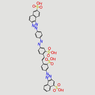 O=S(=O)(O)c1ccc2c(ccc3c2n2n(-c4ccc(N=Nc5ccc(C=Cc6ccc(-n7n8c9cc(S(=O)(=O)O)c%10ccccc%10c9n78)cc6S(=O)(=O)O)c(S(=O)(=O)O)c5)cc4)n32)c1